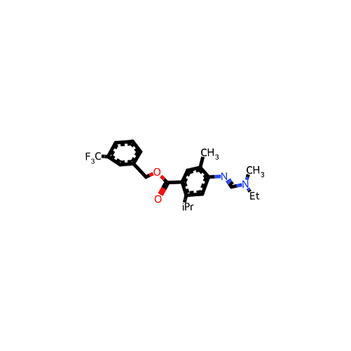 CCN(C)/C=N/c1cc(C(C)C)c(C(=O)OCc2cccc(C(F)(F)F)c2)cc1C